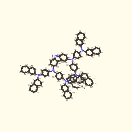 C/C=C\c1cccc(N(c2ccc(N(c3ccc(N(c4ccc5ccccc5c4)c4ccc5ccccc5c4)cc3)c3ccc4[nH]c5ccc(N(c6ccc(N(c7ccc8ccccc8c7)c7ccc8ccccc8c7)cc6)c6ccc(N(c7ccc8ccccc8c7)c7ccc8ccccc8c7)cc6)cc5c4c3)cc2)c2ccc3ccccc3c2)c1